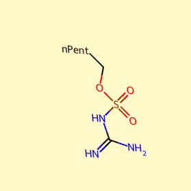 CCCCCCOS(=O)(=O)NC(=N)N